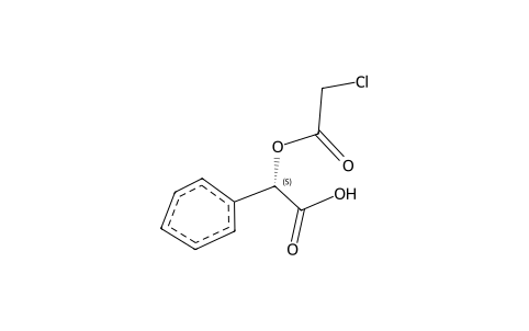 O=C(CCl)O[C@H](C(=O)O)c1ccccc1